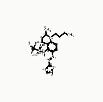 CCCCN1c2ccc(N=Nc3nncs3)c(NS(=O)(=O)C(F)(F)F)c2CCC1C